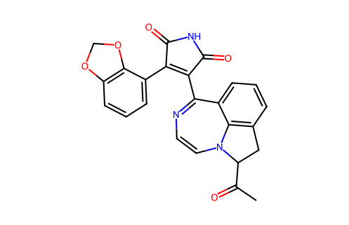 CC(=O)C1Cc2cccc3c2N1C=CN=C3C1=C(c2cccc3c2OCO3)C(=O)NC1=O